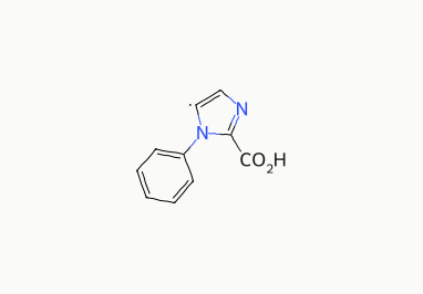 O=C(O)c1nc[c]n1-c1ccccc1